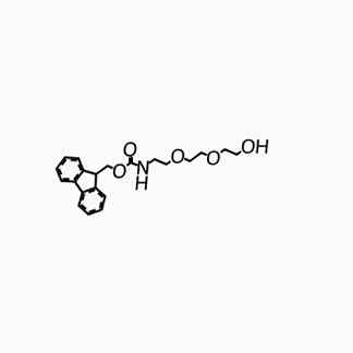 O=C(NCCOCCOCCO)OCC1c2ccccc2-c2ccccc21